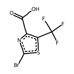 O=C(O)c1nc(Br)sc1C(F)(F)F